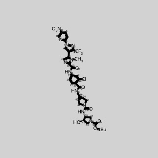 Cn1c(-c2cn(-c3ccc([N+](=O)[O-])cn3)nc2C(F)(F)F)cnc1C(=O)Nc1ccc(C(=O)NC2C3CN(C(=O)N[C@@H]4CN(C(=O)OC(C)(C)C)C[C@H]4O)CC32)c(Cl)c1